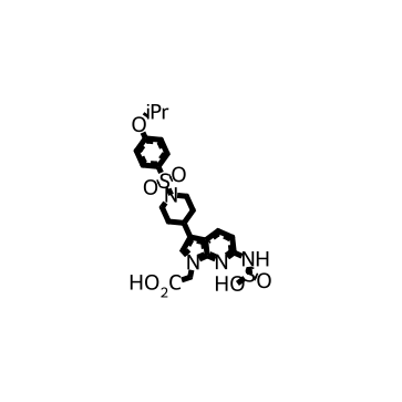 CC(C)Oc1ccc(S(=O)(=O)N2CCC(c3cn(CC(=O)O)c4nc(NS(=O)O)ccc34)CC2)cc1